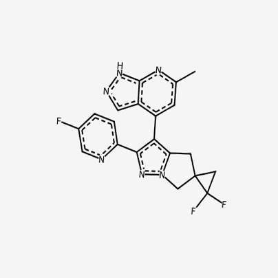 Cc1cc(-c2c(-c3ccc(F)cn3)nn3c2CC2(C3)CC2(F)F)c2cn[nH]c2n1